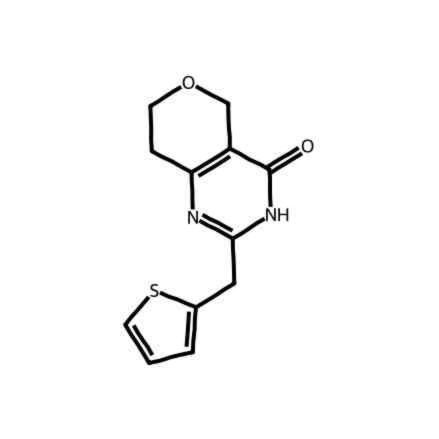 O=c1[nH]c(Cc2cccs2)nc2c1COCC2